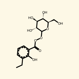 CCc1cccc(C(=O)OOC2O[C@H](CO)[C@@H](O)[C@H](O)[C@H]2O)c1O